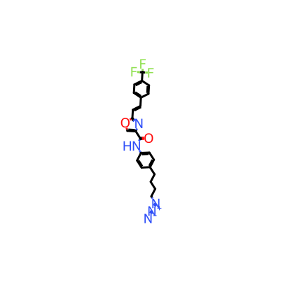 [N-]=[N+]=NCCCCc1ccc(NC(=O)c2coc(C=Cc3ccc(C(F)(F)F)cc3)n2)cc1